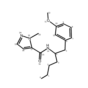 CCCCC(Cc1cccc(OC)c1)NC(=O)c1ccnn1C